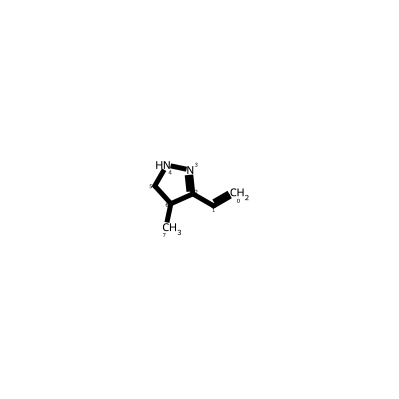 C=CC1=NNCC1C